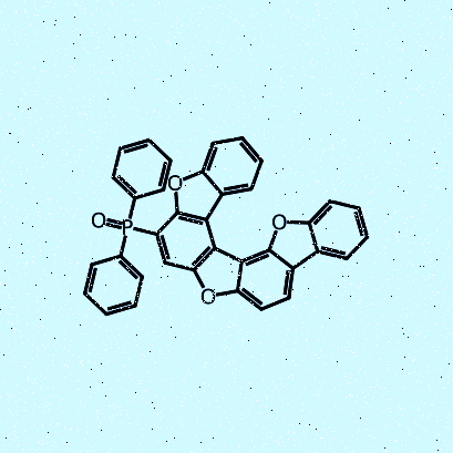 O=P(c1ccccc1)(c1ccccc1)c1cc2oc3ccc4c5ccccc5oc4c3c2c2c1oc1ccccc12